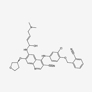 CN(C)C/C=C/C(O)Nc1cc2c(Nc3ccc(OCc4ccccc4C#N)c(Cl)c3)c(C#N)cnc2cc1O[C@H]1CCOC1